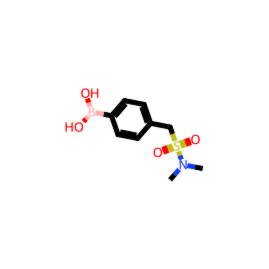 CN(C)S(=O)(=O)Cc1ccc(B(O)O)cc1